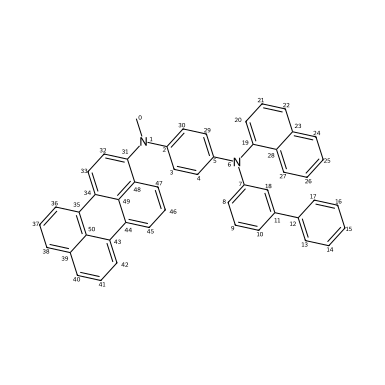 CN(c1ccc(N(c2cccc(-c3ccccc3)c2)c2cccc3ccccc23)cc1)c1ccc2c3cccc4cccc(c5cccc1c52)c43